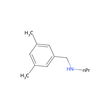 CCCNCc1cc(C)cc(C)c1